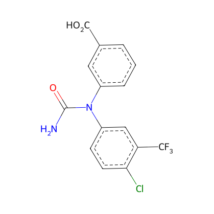 NC(=O)N(c1cccc(C(=O)O)c1)c1ccc(Cl)c(C(F)(F)F)c1